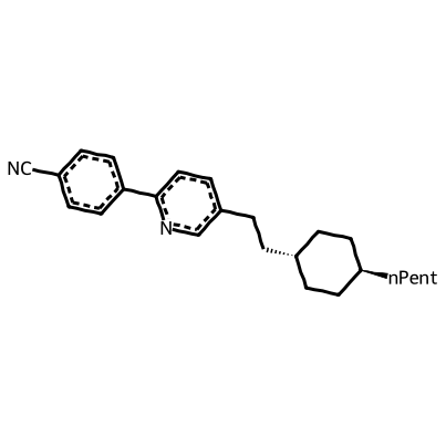 CCCCC[C@H]1CC[C@H](CCc2ccc(-c3ccc(C#N)cc3)nc2)CC1